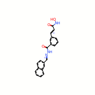 O=C(/C=C/c1cccc(C(=O)N/N=C/c2ccc3ccccc3c2)c1)NO